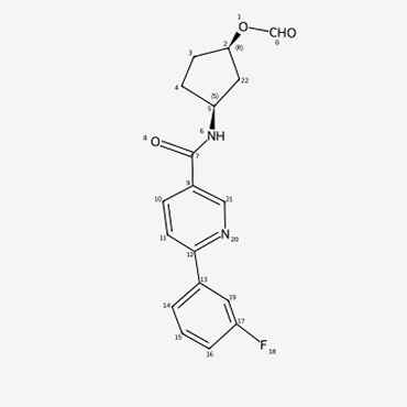 O=CO[C@@H]1CC[C@H](NC(=O)c2ccc(-c3cccc(F)c3)nc2)C1